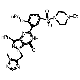 CCCOc1ccc(S(=O)(=O)N2CCN(CC)CC2)cc1-c1nc2c(CCC)nn(Cc3ncnn3C)c2c(=O)[nH]1